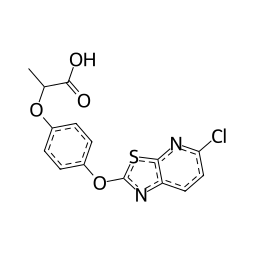 CC(Oc1ccc(Oc2nc3ccc(Cl)nc3s2)cc1)C(=O)O